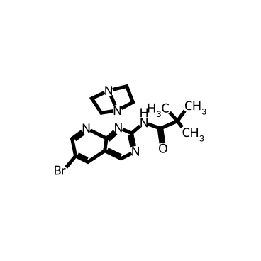 C1CN2CCN12.CC(C)(C)C(=O)Nc1ncc2cc(Br)cnc2n1